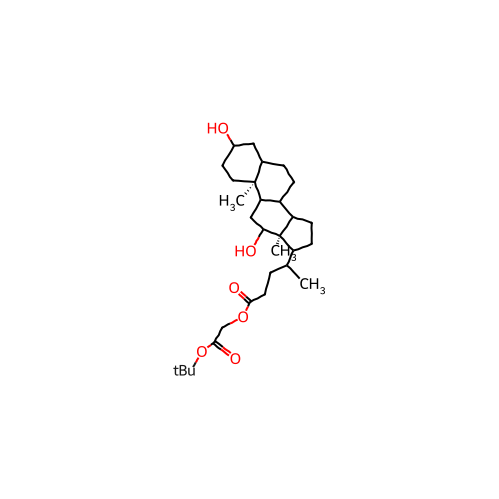 CC(CCC(=O)OCC(=O)OC(C)(C)C)C1CCC2C3CCC4CC(O)CC[C@]4(C)C3CC(O)[C@]12C